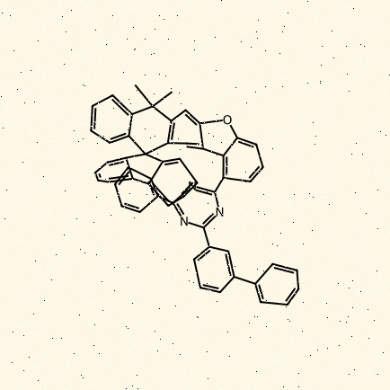 CC1(C)c2ccccc2C2(c3ccccc3-c3ccccc32)c2cc3c(cc21)oc1cccc(-c2nc(-c4ccccc4)nc(-c4cccc(-c5ccccc5)c4)n2)c13